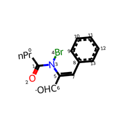 CCCC(=O)N(Br)C([C]=O)=Cc1ccccc1